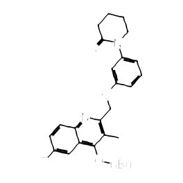 CCCCOc1c(C)c(COc2cccc(N3CCCCC3=O)c2)nc2ccc(F)cc12